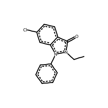 CCn1c(=O)c2ccc(Cl)cc2n1-c1ccccc1